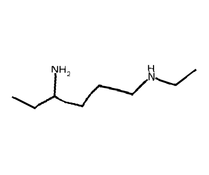 CCNCCCC(N)CC